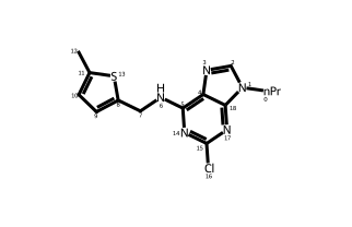 CCCn1cnc2c(NCc3ccc(C)s3)nc(Cl)nc21